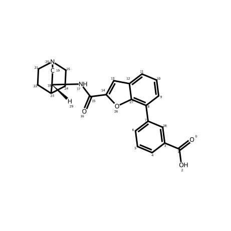 O=C(O)c1cccc(-c2cccc3cc(C(=O)N[C@H]4CN5CCC4CC5)oc23)c1